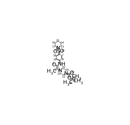 CC(C(=O)Nc1ccc(S(=O)(=O)N2CCCCC2)cc1)N1CCN(C(=O)OC(C)(C)C)CC1